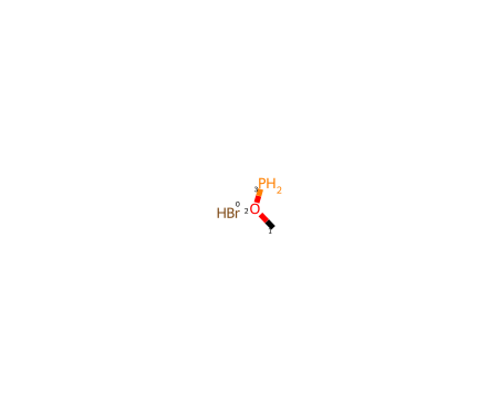 Br.COP